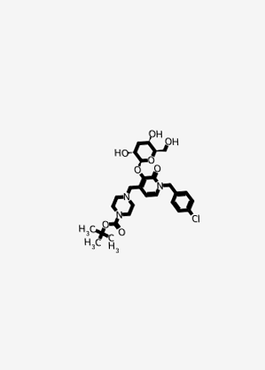 CC(C)(C)OC(=O)N1CCN(Cc2ccn(Cc3ccc(Cl)cc3)c(=O)c2O[C@@H]2O[C@H](CO)[C@@H](O)C[C@H]2O)CC1